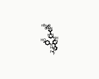 CCCCS(=O)(=O)n1cc(-c2nccc(Nc3cc(NC4CCC(C)(O)CC4)c(-c4ccn(C(F)F)n4)cn3)n2)cn1